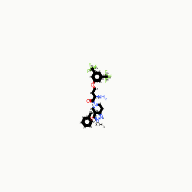 CN1N=C2CCN(C(=O)[C@H](N)CCOc3cc(C(F)(F)F)cc(C(F)(F)F)c3)C[C@@]2(Cc2ccccc2)C1=O